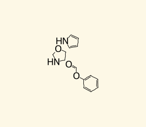 C1COCN1.O=COc1ccccc1.c1cc[nH]c1